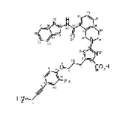 NCC#Cc1ccc(OCCCc2sc(N3CCc4cccc(C(=O)Nc5nc6ccccc6s5)c4C3)nc2C(=O)O)c(F)c1